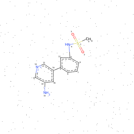 CS(=O)(=O)Nc1cccc(-c2cncc(N)c2)c1